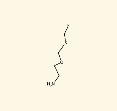 NCCOCSCF